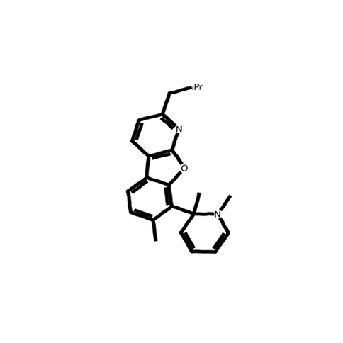 Cc1ccc2c(oc3nc(CC(C)C)ccc32)c1C1(C)C=CC=CN1C